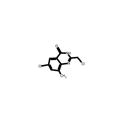 Cc1cc(Cl)cc2c(=O)[nH]c(CCl)nc12